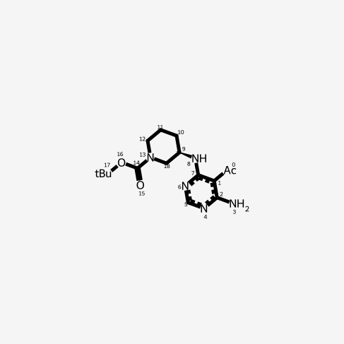 CC(=O)c1c(N)ncnc1N[C@@H]1CCCN(C(=O)OC(C)(C)C)C1